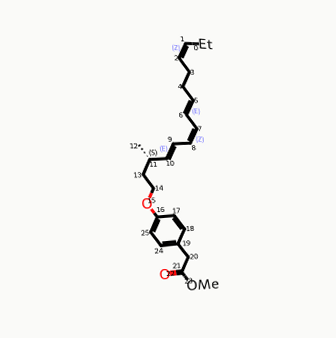 CC/C=C\CC/C=C/C=C\C=C\[C@@H](C)CCOc1ccc(CC(=O)OC)cc1